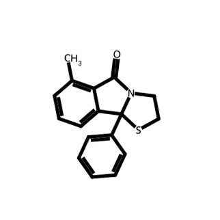 Cc1cccc2c1C(=O)N1CCSC21c1ccccc1